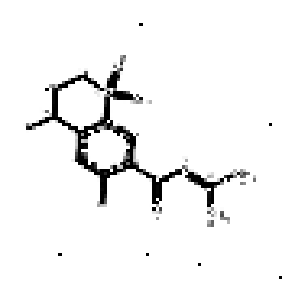 Cc1cc2c(cc1C(=O)N=C(N)N)S(=O)(=O)CCC2C